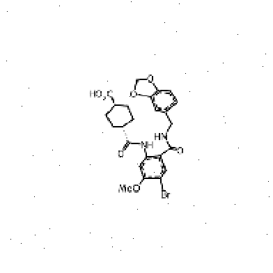 COc1cc(NC(=O)[C@H]2CC[C@H](C(=O)O)CC2)c(C(=O)NCc2ccc3c(c2)OCO3)cc1Br